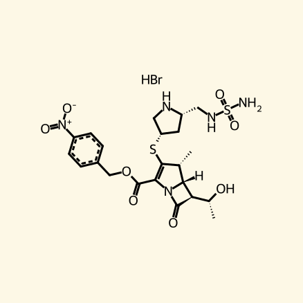 Br.C[C@@H](O)[C@H]1C(=O)N2C(C(=O)OCc3ccc([N+](=O)[O-])cc3)=C(S[C@@H]3CN[C@H](CNS(N)(=O)=O)C3)[C@H](C)[C@H]12